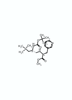 COC(=O)[C@H](Cc1cccnc1)NC[C@H](C[Si](C)(C)C)NC(=O)OC(C)(C)C